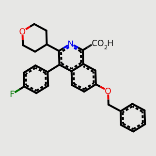 O=C(O)c1nc(C2CCOCC2)c(-c2ccc(F)cc2)c2ccc(OCc3ccccc3)cc12